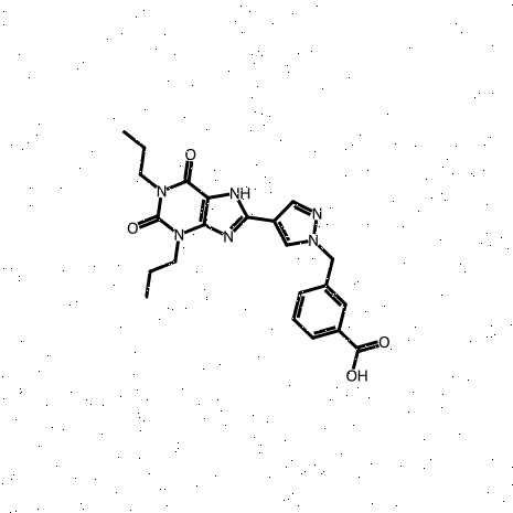 CCCn1c(=O)c2[nH]c(-c3cnn(Cc4cccc(C(=O)O)c4)c3)nc2n(CCC)c1=O